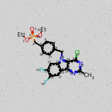 CCOP(=O)(Cc1ccc(Cn2c3cc(F)c(F)cc3c3nc(C)nc(Cl)c32)cc1)OCC